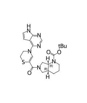 CC(C)(C)OC(=O)N1CCC[C@@H]2CN(C(=O)C3=CN(c4ncnc5[nH]ccc45)CCS3)C[C@@H]21